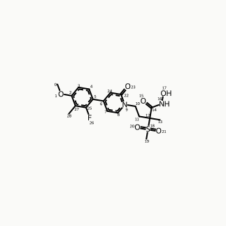 COc1ccc(-c2ccn(CCC(C)(C(=O)NO)S(C)(=O)=O)c(=O)c2)c(F)c1C